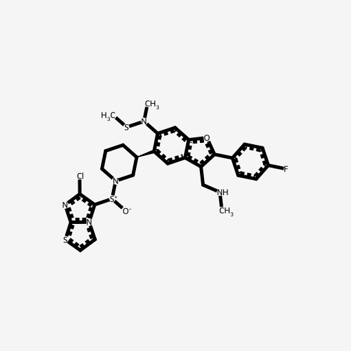 CNCc1c(-c2ccc(F)cc2)oc2cc(N(C)SC)c([C@@H]3CCCN([S+]([O-])c4c(Cl)nc5sccn45)C3)cc12